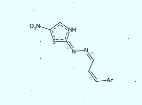 CC(=O)\C=C/C=N\N=c1/[nH]cc([N+](=O)[O-])s1